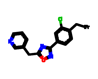 CC(C)Cc1ccc(-c2noc(Cc3cccnc3)n2)cc1Cl